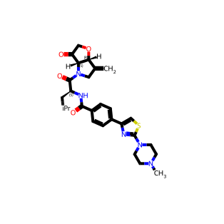 C=C1CN(C(=O)[C@H](CC(C)C)NC(=O)c2ccc(-c3csc(N4CCN(C)CC4)n3)cc2)[C@@H]2C(=O)CO[C@H]12